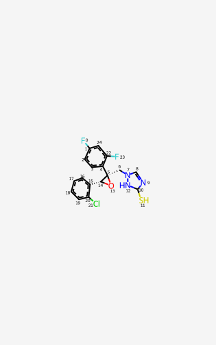 Fc1ccc([C@@]2(CN3C=NC(S)N3)O[C@@H]2c2ccccc2Cl)c(F)c1